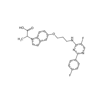 CC(C(=O)O)n1ccc2cc(OCCCNc3nc(-c4ccc(F)cc4)ncc3F)ccc21